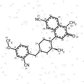 C[C@H]1CN(Cc2ccc(OC(F)(F)F)cc2C#N)CCN1c1cc(=O)n(C)c2ccc(C#N)nc12